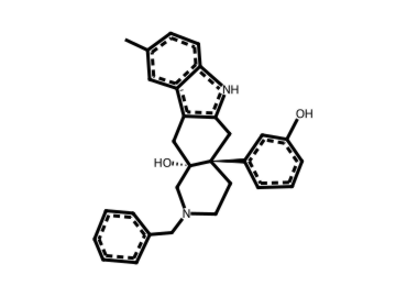 Cc1ccc2[nH]c3c(c2c1)C[C@]1(O)CN(Cc2ccccc2)CC[C@@]1(c1cccc(O)c1)C3